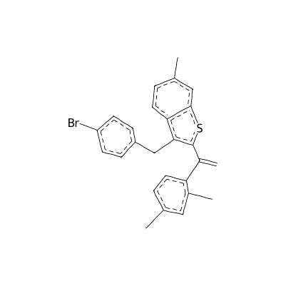 C=C(c1ccc(C)cc1C)c1sc2cc(C)ccc2c1Cc1ccc(Br)cc1